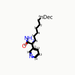 CCCCCCCCCCCCCCCCC(C(N)=O)c1cccnc1